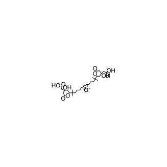 CC(C)(CCCC[S+]([O-])CCCCC(C)(C)C1CC(O)(CC(=O)O)CC(=O)O1)C1CC(O)(CC(=O)O)CC(=O)O1